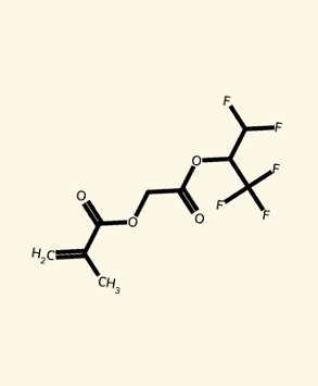 C=C(C)C(=O)OCC(=O)OC(C(F)F)C(F)(F)F